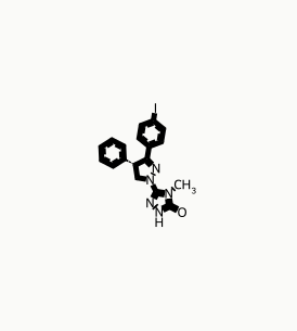 Cn1c(N2C[C@H](c3ccccc3)C(c3ccc(I)cc3)=N2)n[nH]c1=O